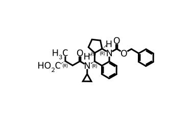 C[C@H](CC(=O)N(C1CC1)[C@H]1c2ccccc2N(C(=O)OCc2ccccc2)[C@@H]2CCC[C@@H]21)C(=O)O